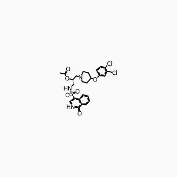 CC(=O)O[C@@H](CNS(=O)(=O)c1c[nH]c(=O)c2ccccc12)CN1CCC(Oc2ccc(Cl)c(Cl)c2)CC1